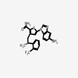 Bc1ccc2c(c1)ncn2-c1cc(C[C@H](C)c2ccccc2C(F)(F)F)c(C(N)=O)s1